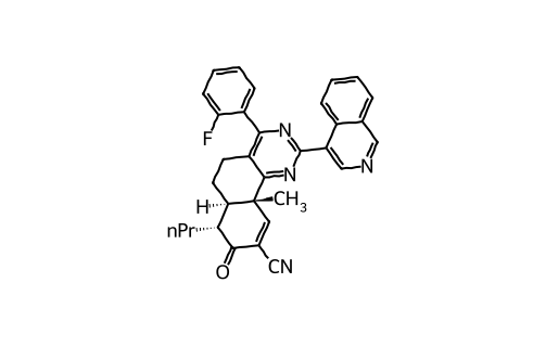 CCC[C@H]1C(=O)C(C#N)=C[C@@]2(C)c3nc(-c4cncc5ccccc45)nc(-c4ccccc4F)c3CC[C@H]12